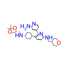 CC1(C)OC[C@@H](CN[C@H]2CC[C@H](c3ccc(NCC4CCOCC4)nc3-c3ccnc(N)c3)CC2)O1